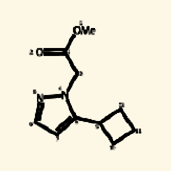 COC(=O)Cn1nccc1C1CCC1